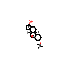 C[C@]12CC[C@H]3[C@@H](CC=C4C[C@@H](O[Si](C)(C)C)CC[C@@]43C=O)[C@@H]1CC[C@@H]2O